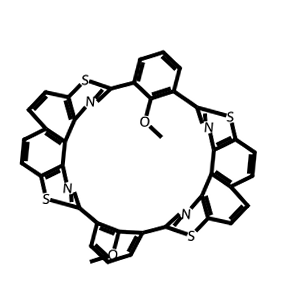 COc1c2cccc1c1nc3c(ccc4ccc5sc(nc5c43)c3cccc(c3OC)c3nc4c(ccc5ccc6sc2nc6c54)s3)s1